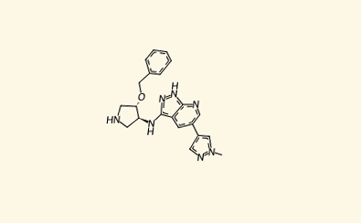 Cn1cc(-c2cnc3[nH]nc(N[C@H]4CNC[C@@H]4OCc4ccccc4)c3c2)cn1